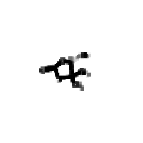 CC(C)(C)[C@H]1OC(=O)OC1(C)C